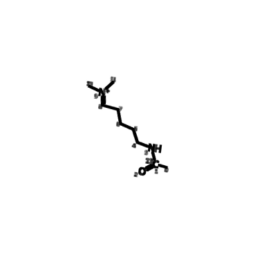 C[13C](=O)NCCCCC=[N+](C)C